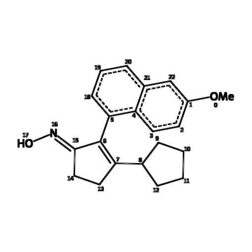 COc1ccc2c(C3=C(C4CCCC4)CC/C3=N\O)cccc2c1